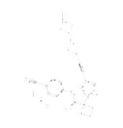 N#Cc1ccc(NC(=O)C2(n3cc(C#CC4CN(C5CNC5)C4)cn3)CCC2)cc1C(F)(F)F